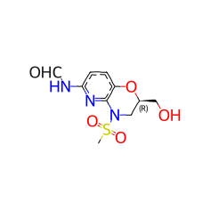 CS(=O)(=O)N1C[C@H](CO)Oc2ccc(NC=O)nc21